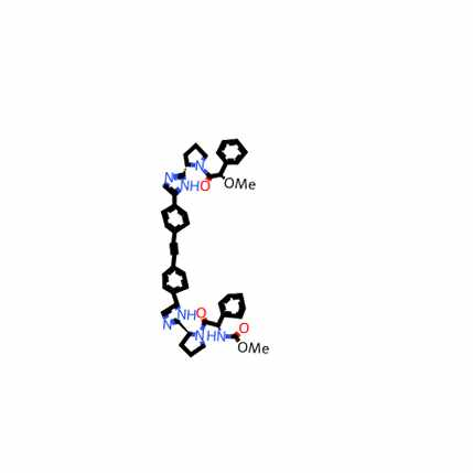 COC(=O)N[C@@H](C(=O)N1CCC[C@H]1c1ncc(-c2ccc(C#Cc3ccc(-c4cnc([C@@H]5CCCN5C(=O)[C@H](OC)c5ccccc5)[nH]4)cc3)cc2)[nH]1)c1ccccc1